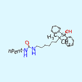 CCCCCNC(=O)NCCCCCCC(C)(C)[Si](O)(c1ccccc1)c1ccccc1